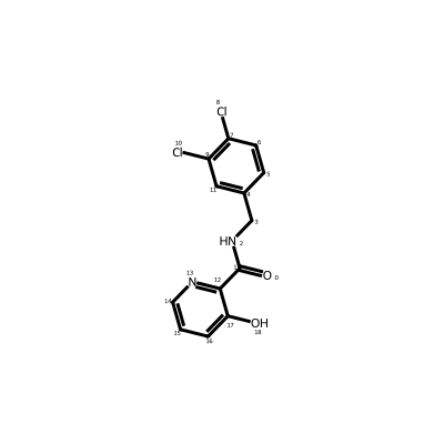 O=C(NCc1ccc(Cl)c(Cl)c1)c1ncccc1O